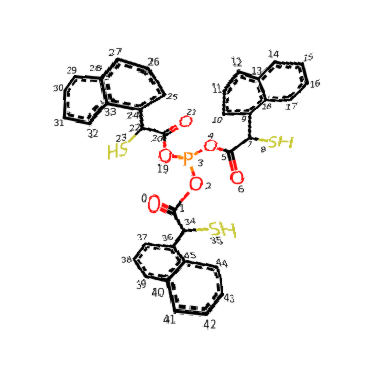 O=C(OP(OC(=O)C(S)c1cccc2ccccc12)OC(=O)C(S)c1cccc2ccccc12)C(S)c1cccc2ccccc12